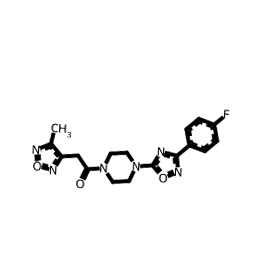 Cc1nonc1CC(=O)N1CCN(c2nc(-c3ccc(F)cc3)no2)CC1